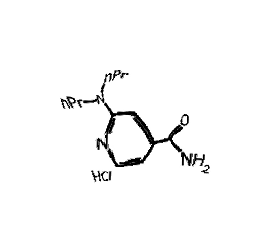 CCCN(CCC)c1cc(C(N)=O)ccn1.Cl